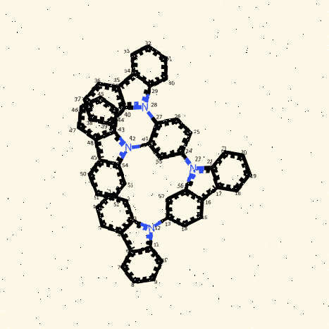 c1ccc2c(c1)c1ccccc1n2-c1ccc2c3ccccc3n(-c3ccc(-n4c5ccccc5c5ccccc54)c(-n4c5ccccc5c5ccccc54)c3)c2c1